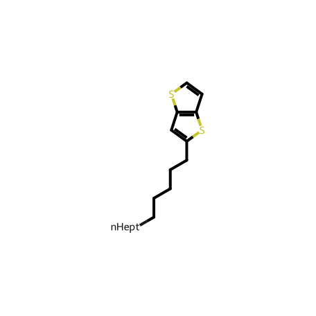 CCCCCCCCCCCCc1cc2sccc2s1